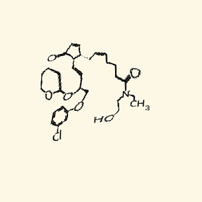 CCN(CCO)C(=O)CCC/C=C\C[C@H]1C=CC(=O)[C@@H]1/C=C/[C@@H](COc1cccc(Cl)c1)OC1CCCCO1